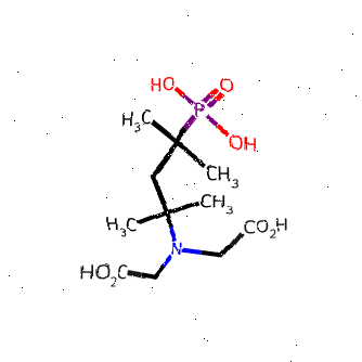 CC(C)(CC(C)(C)P(=O)(O)O)N(CC(=O)O)CC(=O)O